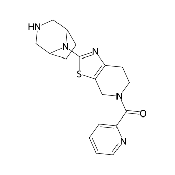 O=C(c1ccccn1)N1CCc2nc(N3C4CCC3CNC4)sc2C1